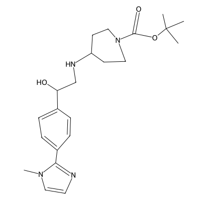 Cn1ccnc1-c1ccc(C(O)CNC2CCN(C(=O)OC(C)(C)C)CC2)cc1